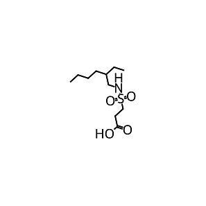 CCCCC(CC)CNS(=O)(=O)CCC(=O)O